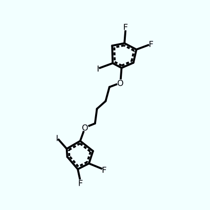 Fc1cc(I)c(OCCCCOc2cc(F)c(F)cc2I)cc1F